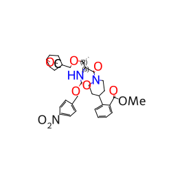 COC(=O)c1ccccc1C1CCN(C(=O)[C@@H](NC(=O)OCc2ccc([N+](=O)[O-])cc2)[C@@H](C)OCC23CCC(CC2)OC3)CC1